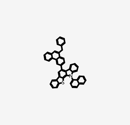 c1ccc(Cc2cc3ccccc3c3cc(-c4cc5c6ccccc6sc5c5c4c4ccccc4n5-c4cccc5ccccc45)ccc23)cc1